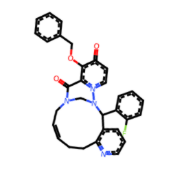 O=C1c2c(OCc3ccccc3)c(=O)ccn2N2CN1C/C=C\CCc1ncccc1C2c1ccccc1F